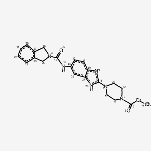 CC(C)(C)OC(=O)N1CCN(c2nc3ccc(NC(=O)N4Cc5ccccc5C4)cc3[nH]2)CC1